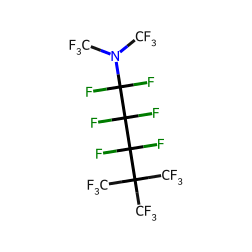 FC(F)(F)N(C(F)(F)F)C(F)(F)C(F)(F)C(F)(F)C(C(F)(F)F)(C(F)(F)F)C(F)(F)F